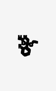 CCOC(CN)(OCC)c1ccccc1F